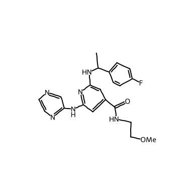 COCCNC(=O)c1cc(Nc2cnccn2)nc(NC(C)c2ccc(F)cc2)c1